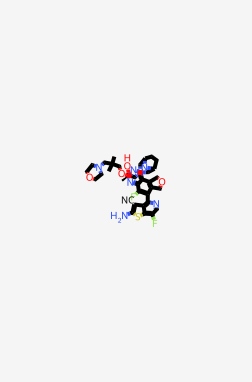 C[C@@H](O)CN1CC2CCC(C1)N2c1nc(OCC(C)(C)CN2CCOCC2)nc2c(F)c(-c3ncc(F)c4sc(N)c(C#N)c34)c3c(c12)COC3